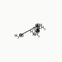 COC(=O)CCCCCCCCCCCCCCCSCCCOP(=O)(O)CO[C@H](C)Cn1cnc2c(N)ncnc21.N